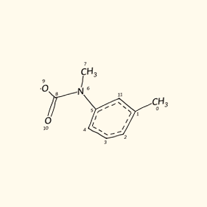 Cc1cccc(N(C)C([O])=O)c1